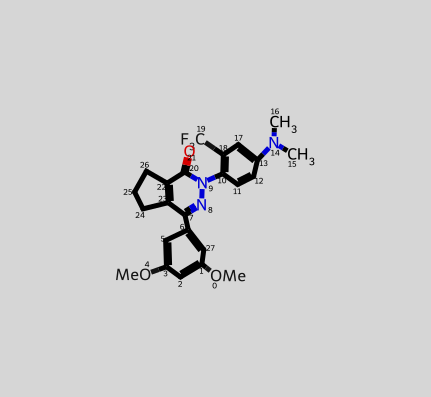 COc1cc(OC)cc(-c2nn(-c3ccc(N(C)C)cc3C(F)(F)F)c(=O)c3c2CCC3)c1